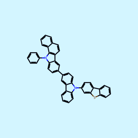 c1ccc(-n2c3ccc(-c4ccc5c(c4)c4ccccc4n5-c4ccc5c(c4)sc4ccccc45)cc3c3ccc4ccccc4c32)cc1